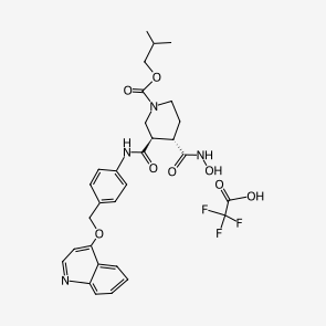 CC(C)COC(=O)N1CC[C@H](C(=O)NO)[C@@H](C(=O)Nc2ccc(COc3ccnc4ccccc34)cc2)C1.O=C(O)C(F)(F)F